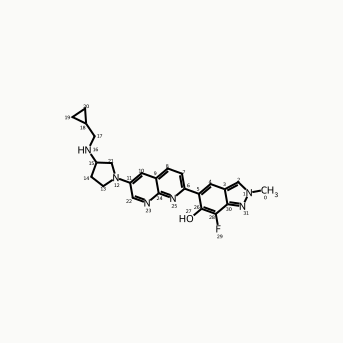 Cn1cc2cc(-c3ccc4cc(N5CCC(NCC6CC6)C5)cnc4n3)c(O)c(F)c2n1